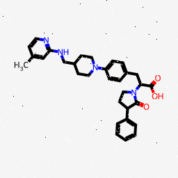 Cc1ccnc(NCC2CCN(c3ccc(CC(C(=O)O)N4CCC(c5ccccc5)C4=O)cc3)CC2)c1